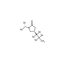 [2H]C([2H])(C)C([2H])([2H])[C@@H]1CC(=O)N([C@@H](CC)C(C)=O)C1